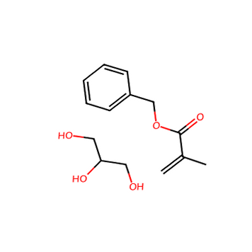 C=C(C)C(=O)OCc1ccccc1.OCC(O)CO